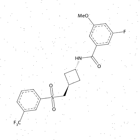 COc1cc(F)cc(C(=O)N[C@H]2C[C@H](CS(=O)(=O)c3cccc(C(F)(F)F)c3)C2)c1